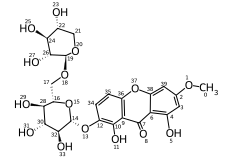 COc1cc(O)c2c(=O)c3c(O)c(O[C@H]4O[C@@H](CO[C@@H]5OC[C@@H](O)[C@H](O)[C@H]5O)[C@H](O)[C@@H](O)[C@@H]4O)ccc3oc2c1